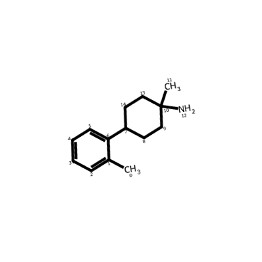 Cc1c[c]ccc1C1CCC(C)(N)CC1